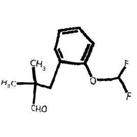 CC(C)(C=O)Cc1ccccc1OC(F)F